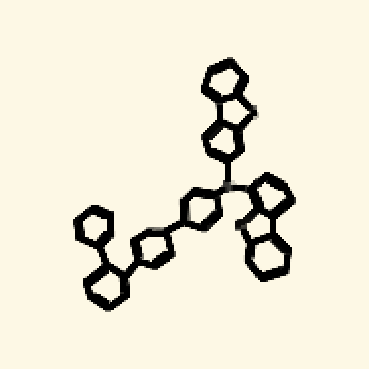 c1ccc(-c2ccccc2-c2ccc(-c3ccc(N(c4ccc5c(c4)sc4ccccc45)c4cccc5c4oc4ccccc45)cc3)cc2)cc1